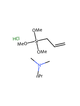 C=CC[Si](OC)(OC)OC.CCCN(C)C.Cl